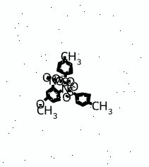 COc1ccc(N(S(=O)(=O)c2ccc(C)cc2)S(=O)(=O)c2ccc(C)cc2)c([N+](=O)[O-])c1